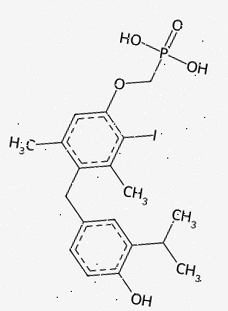 Cc1cc(OCP(=O)(O)O)c(I)c(C)c1Cc1ccc(O)c(C(C)C)c1